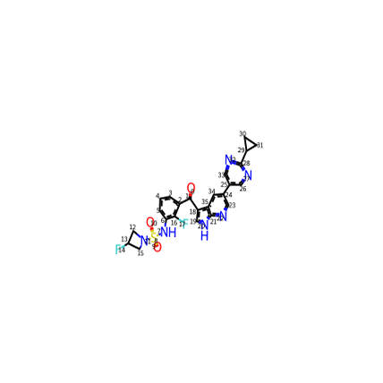 O=C(c1cccc(NS(=O)(=O)N2CC(F)C2)c1F)c1c[nH]c2ncc(-c3cnc(C4CC4)nc3)cc12